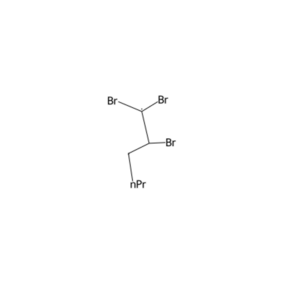 CCCCC(Br)[C](Br)Br